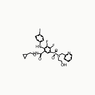 O=C(NOCC1CC1)c1cc(S(=O)(=O)N(CCO)Cc2ccccn2)c(F)c(F)c1Nc1ccc(I)cc1